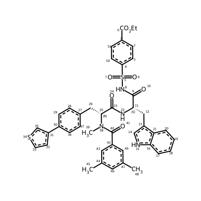 CCOC(=O)c1ccc(S(=O)(=O)NC(=O)[C@H](Cc2c[nH]c3ccccc23)NC(=O)[C@@H](Cc2ccc(-c3ccsc3)cc2)N(C)C(=O)c2cc(C)cc(C)c2)cc1